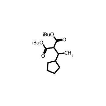 CC(C)COC(=O)C(C(=O)OCC(C)C)C(C)C1CCCC1